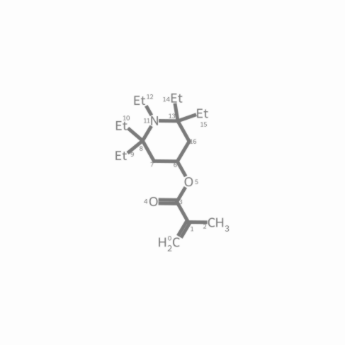 C=C(C)C(=O)OC1CC(CC)(CC)N(CC)C(CC)(CC)C1